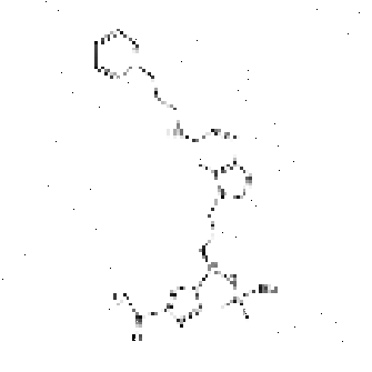 CC(C)(C)[Si](C)(C)O[C@H](CCCn1ccc2ccc(NCCCc3ccccc3)cc21)n1cnc(C(N)=O)c1